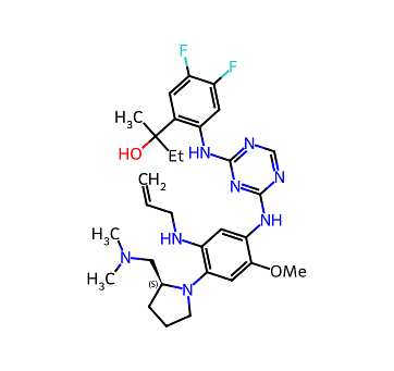 C=CCNc1cc(Nc2ncnc(Nc3cc(F)c(F)cc3C(C)(O)CC)n2)c(OC)cc1N1CCC[C@H]1CN(C)C